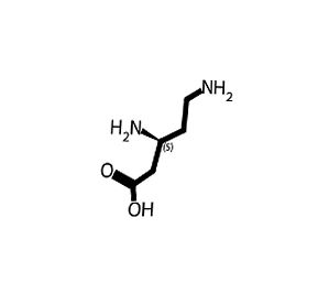 NCC[C@H](N)CC(=O)O